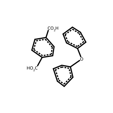 O=C(O)c1ccc(C(=O)O)cc1.c1ccc(Oc2ccccc2)cc1